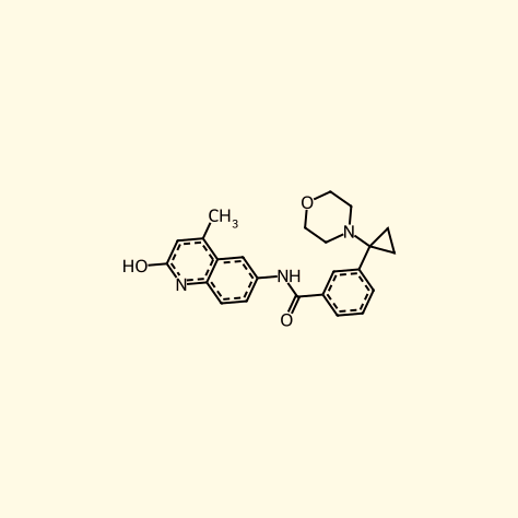 Cc1cc(O)nc2ccc(NC(=O)c3cccc(C4(N5CCOCC5)CC4)c3)cc12